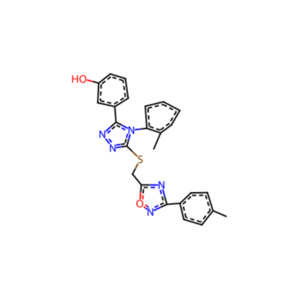 Cc1ccc(-c2noc(CSc3nnc(-c4cccc(O)c4)n3-c3ccccc3C)n2)cc1